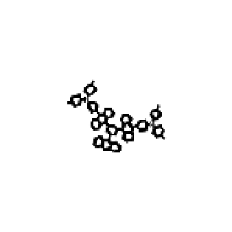 Cc1ccc(N(c2ccc(C)cc2)c2ccc(-c3c4ccccc4c(-c4cc(-c5c6ccccc6cc6ccccc56)cc(-c5c6ccccc6c(-c6ccc(N(c7ccc(C)cc7)c7ccc(C)cc7)cc6)c6ccccc56)c4)c4ccccc34)cc2)cc1